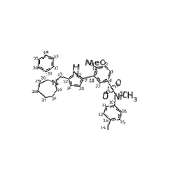 COc1ccc(S(=O)(=O)N(C)c2ccc(I)cc2)cc1-c1ccc(CN2CCCCC[C@@H]2c2ccccc2)[nH]1